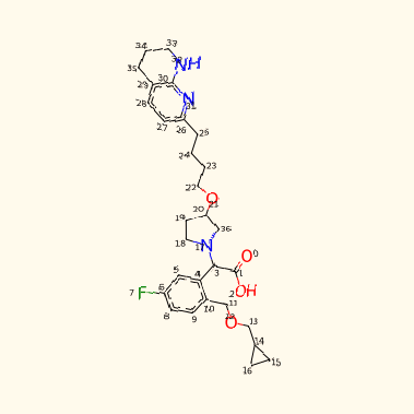 O=C(O)C(c1cc(F)ccc1COCC1CC1)N1CCC(OCCCCc2ccc3c(n2)NCCC3)C1